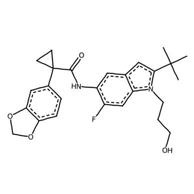 CC(C)(C)c1cc2cc(NC(=O)C3(c4ccc5c(c4)OCO5)CC3)c(F)cc2n1CCCO